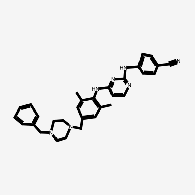 Cc1cc(CN2CCN(Cc3ccccc3)CC2)cc(C)c1Nc1ccnc(Nc2ccc(C#N)cc2)n1